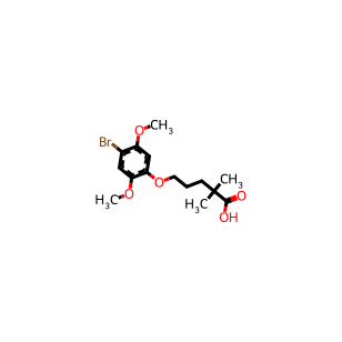 COc1cc(OCCCC(C)(C)C(=O)O)c(OC)cc1Br